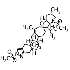 CC1=C2C[C@H]3[C@@H](CC[C@@H]4Cc5nn(S(C)(=O)=O)cc5C[C@@]43C)[C@@H]2CC[C@@]2(C1)O[C@@H]1C[C@H](C)CN(S(C)(=O)=O)[C@H]1[C@H]2C